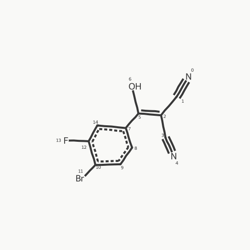 N#CC(C#N)=C(O)c1ccc(Br)c(F)c1